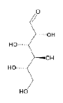 O=C[C@H](O)[C@@H](O)[C@@H](O)[C@@H](O)CO